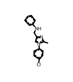 Cc1nc(CNc2ccccc2)cn1-c1ccc(Cl)cc1